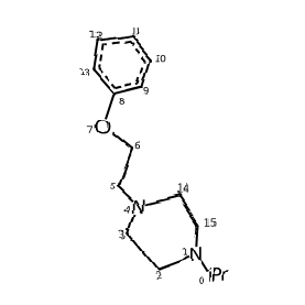 CC(C)N1CCN(CCOc2ccccc2)CC1